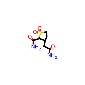 NC(=O)CC1CCS(=O)(=O)C1C(N)=O